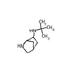 CC(C)(C)NC1CC2CNC1C2